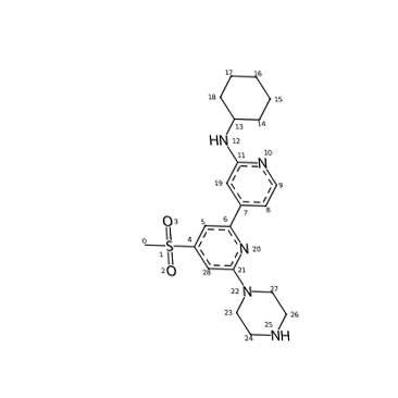 CS(=O)(=O)c1cc(-c2ccnc(NC3CCCCC3)c2)nc(N2CCNCC2)c1